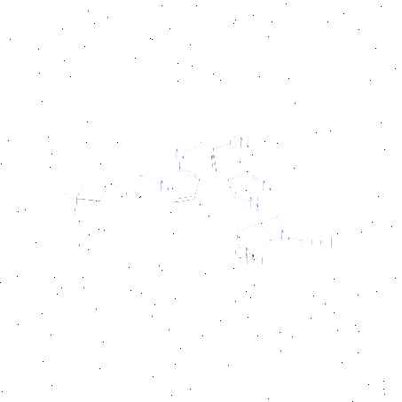 CC(C)(C)C1N(C(=O)O)CC1(CC#N)n1cc(-c2c(C#N)cnc3c2ccn3COCC[Si](C)(C)C)cn1